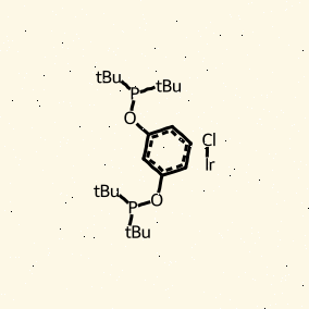 CC(C)(C)P(Oc1cccc(OP(C(C)(C)C)C(C)(C)C)c1)C(C)(C)C.[Cl][Ir]